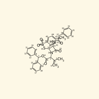 C=C(C)C(C(=O)OC(c1ccccc1)c1ccccc1)N1C(=O)C(NC(=O)Cc2ccccc2)C1SS(=O)(=O)c1ccc(C)cc1